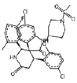 Cc1ccc(F)cc1[C@@H]1NC(=O)C[C@H](c2cc(Cl)ccc2OC2CCN(S(C)(=O)=O)CC2)[C@@]12C(=O)Nc1cc(Cl)ccc12